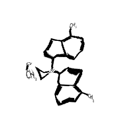 CCl.Cc1cccc2c1C=C[CH]2[Zr]1([CH]2C=Cc3c(C)cccc32)[CH2][CH2]1